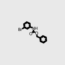 O=C(Nc1cccc(Br)c1)OCc1ccccc1